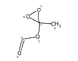 CC1(OC=O)OO1